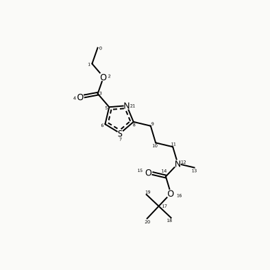 CCOC(=O)c1csc(CCCN(C)C(=O)OC(C)(C)C)n1